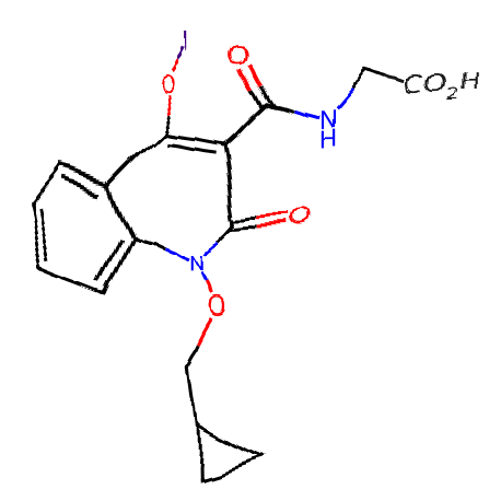 O=C(O)CNC(=O)c1c(OI)c2ccccc2n(OCC2CC2)c1=O